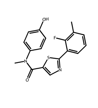 Cc1cccc(-c2ncc(C(=O)N(C)c3ccc(O)cc3)s2)c1F